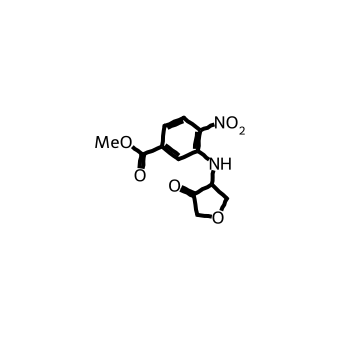 COC(=O)c1ccc([N+](=O)[O-])c(NC2COCC2=O)c1